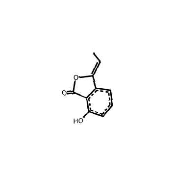 CC=C1OC(=O)c2c(O)cccc21